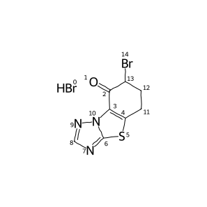 Br.O=C1c2c(sc3ncnn23)CCC1Br